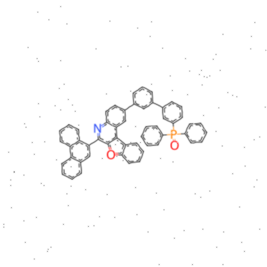 O=P(c1ccccc1)(c1ccccc1)c1cccc(-c2cccc(-c3ccc4nc(-c5cc6ccccc6c6ccccc56)c5oc6ccccc6c5c4c3)c2)c1